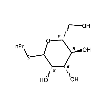 CCCSC1O[C@H](CO)[C@@H](O)[C@H](O)[C@@H]1O